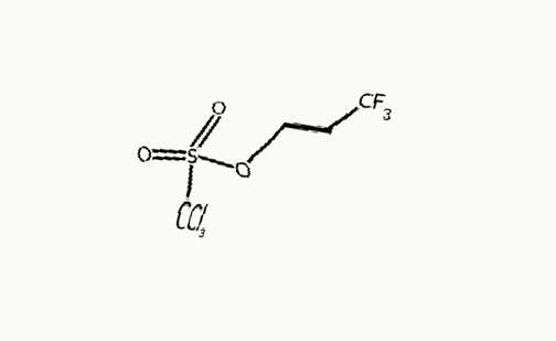 O=S(=O)(OCCC(F)(F)F)C(Cl)(Cl)Cl